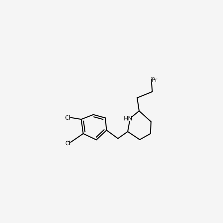 CC(C)CCC1CCCC(Cc2ccc(Cl)c(Cl)c2)N1